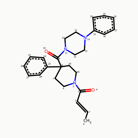 C/C=C/C(=O)N1CCC(C(=O)N2CCN(c3ccccc3)CC2)(c2ccccc2)CC1